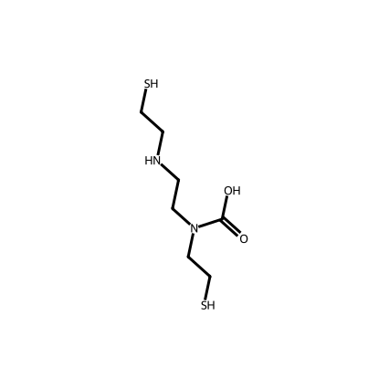 O=C(O)N(CCS)CCNCCS